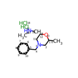 CC1CN(Cc2ccccc2)CCO1.CNC.Cl.Cl